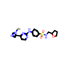 CC(C)n1cncc1-c1ccnc(Nc2ccc(S(=O)(=O)NCC3CCCO3)cc2)n1